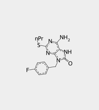 CCCSc1nc(N)c2[nH]c(=O)n(Cc3ccc(F)cc3)c2n1